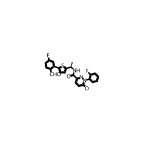 C[C@@H](NC(=O)c1ccc(=O)n(-c2ccccc2F)n1)c1ccc(-c2cc(F)ccc2C=O)s1